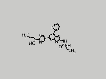 CCCC(O)c1ncc(-c2cc(-c3ccccn3)c3sc(NC(=O)NCC)nc3c2)cn1